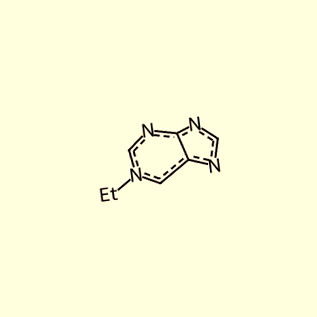 CCn1cnc2ncnc-2c1